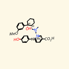 CC(=O)Nc1ccc(O)cc1.COc1cccc([C@@]2(O)CCCC[C@@H]2CN(C)C)c1.O=C(O)c1cccnc1